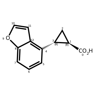 O=C(O)[C@@H]1C[C@H]1c1cccc2occc12